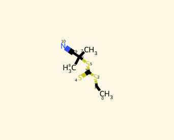 CCSC(=S)SC(C)(C)C#N